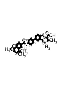 CC(C)C(C(=O)O)N1Cc2ccc(-c3ccc(NC(=O)c4ccc5c(c4)C(C)(C)CCC5(C)C)cc3)cc2C1=O